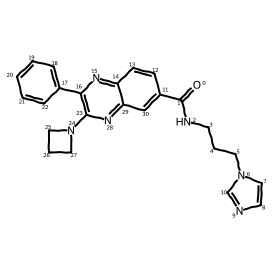 O=C(NCCCn1ccnc1)c1ccc2nc(-c3ccccc3)c(N3CCC3)nc2c1